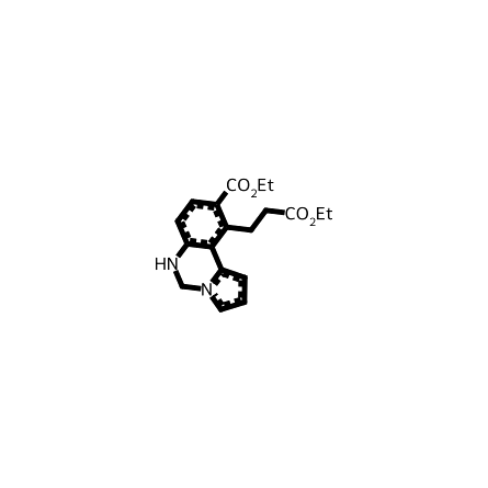 CCOC(=O)CCc1c(C(=O)OCC)ccc2c1-c1cccn1CN2